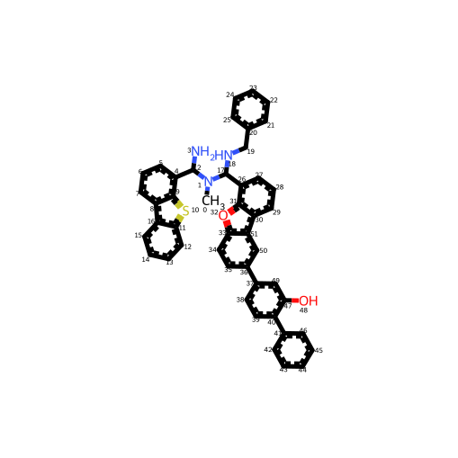 CN(C(N)c1cccc2c1sc1ccccc12)C(NCc1ccccc1)c1cccc2c1oc1ccc(-c3ccc(-c4ccccc4)c(O)c3)cc12